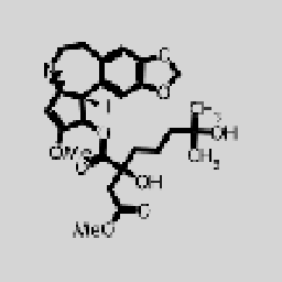 COC(=O)CC(O)(CCCC(C)(C)O)C(=O)OC1C(OC)=C[C@]23CCCN2CCc2cc4c(cc2[C@H]13)OCO4